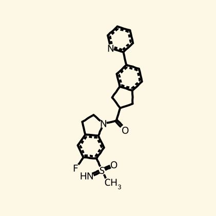 CS(=N)(=O)c1cc2c(cc1F)CCN2C(=O)C1Cc2ccc(-c3ccccn3)cc2C1